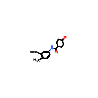 COc1cc(NC(=O)C2CCC(=O)CC2)ccc1C